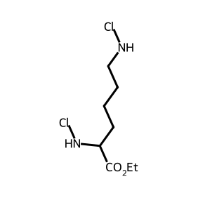 CCOC(=O)C(CCCCNCl)NCl